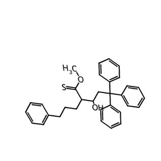 COC(=S)C(CCCc1ccccc1)C(O)CC(c1ccccc1)(c1ccccc1)c1ccccc1